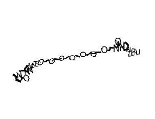 C=C1C=CC(=O)N1Cc1cn(CCOCCOCCOCCOCCOCCOCCOCCNC(=O)N2CC[C@H](C(C)(C)C)C2)nn1